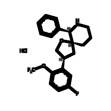 Cl.Fc1ccc(OC(F)(F)F)c([C@@H]2CO[C@]3(CCCN[C@H]3c3ccccc3)C2)c1